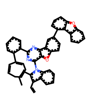 C=Cc1c(/C=C\C)n(-c2nc(-c3ccccc3C3=CC=CCC=C3)nc3c2oc2ccc(-c4cccc5oc6ccccc6c45)cc23)c2ccccc12